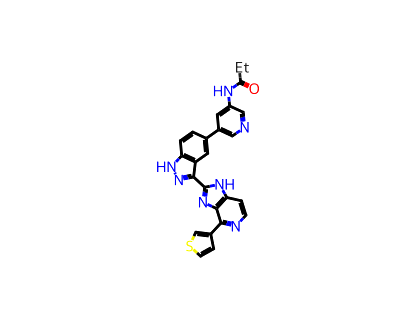 CCC(=O)Nc1cncc(-c2ccc3[nH]nc(-c4nc5c(-c6ccsc6)nccc5[nH]4)c3c2)c1